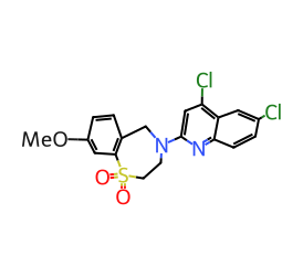 COc1ccc2c(c1)S(=O)(=O)CCN(c1cc(Cl)c3cc(Cl)ccc3n1)C2